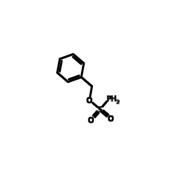 O=S(=O)(P)OCc1ccccc1